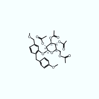 COCc1ccc(Cc2ccc(OC)cc2)c(O[C@@H]2O[C@H](COC(C)=O)[C@@H](OC(C)=O)[C@H](OC(C)=O)[C@H]2OC(C)=O)c1